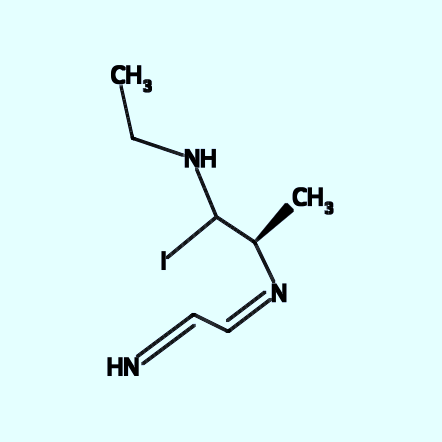 CCNC(I)[C@@H](C)/N=C\C=N